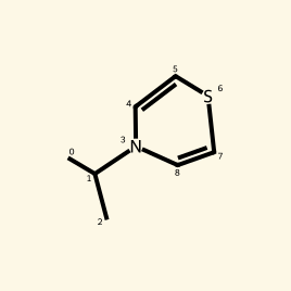 CC(C)N1C=CSC=C1